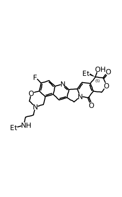 CCNCCN1COc2c(F)cc3nc4c(cc3c2C1)Cn1c-4cc2c(c1=O)COC(=O)[C@]2(O)CC